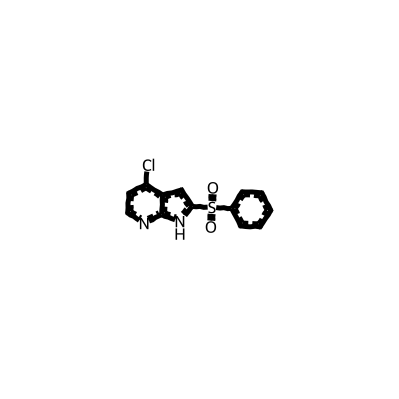 O=S(=O)(c1ccccc1)c1cc2c(Cl)ccnc2[nH]1